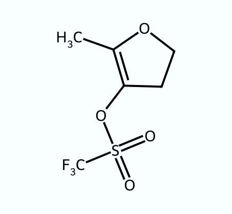 CC1=C(OS(=O)(=O)C(F)(F)F)CCO1